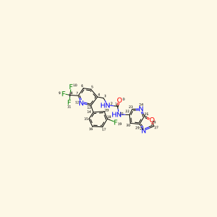 O=C(NCc1ccc(C(F)(F)F)nc1-c1cccc(F)c1)Nc1cnc2ocnc2c1